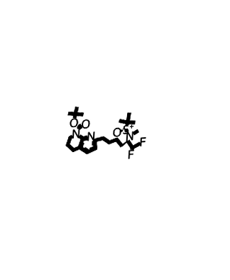 CN([C@H](CCCCc1ccc2c(n1)N(C(=O)OC(C)(C)C)CCC2)C(F)F)[S@@+]([O-])C(C)(C)C